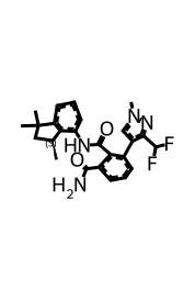 C[C@H]1CC(C)(C)c2cccc(NC(=O)c3c(C(N)=O)cccc3-c3cn(C)nc3C(F)F)c21